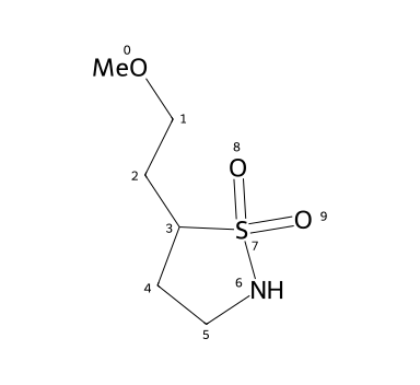 COCCC1CCNS1(=O)=O